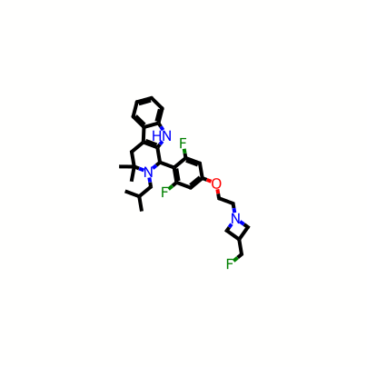 CC(C)CN1C(c2c(F)cc(OCCN3CC(CF)C3)cc2F)c2[nH]c3ccccc3c2CC1(C)C